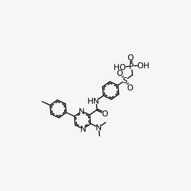 Cc1ccc(-c2cnc(N(C)C)c(C(=O)Nc3ccc(S(=O)(=O)CP(=O)(O)O)cc3)n2)cc1